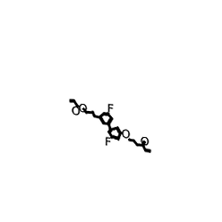 C=CC(=O)CCCOc1cc(F)cc(-c2cc(F)cc(CCCOC(=O)C=C)c2)c1